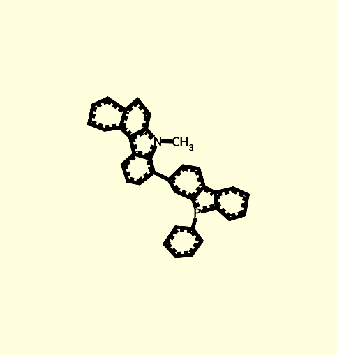 Cn1c2ccc3ccccc3c2c2cccc(-c3ccc4c5ccccc5p(-c5ccccc5)c4c3)c21